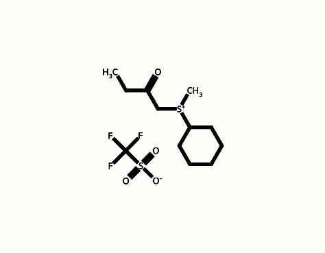 CCC(=O)C[S+](C)C1CCCCC1.O=S(=O)([O-])C(F)(F)F